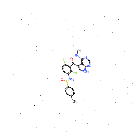 CC(C)Nc1ncnc2[nH]cc(C(=O)c3c(F)ccc(N[S+]([O-])c4ccc(C#N)cc4)c3F)c12